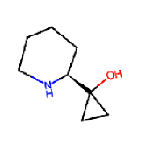 OC1([C@@H]2CCCCN2)CC1